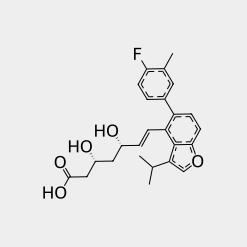 Cc1cc(-c2ccc3occ(C(C)C)c3c2/C=C/[C@@H](O)C[C@@H](O)CC(=O)O)ccc1F